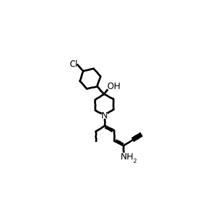 C#C/C(N)=C\C=C(/CC)N1CCC(O)(C2CCC(Cl)CC2)CC1